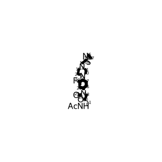 CC(=O)NC[C@H]1CN(c2ccc(N3CCN(Cc4nccs4)CC3)c(F)c2)C(=O)O1